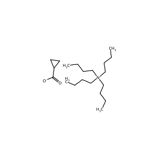 CCCC[N+](CCCC)(CCCC)CCCC.O=C([O-])C1CC1